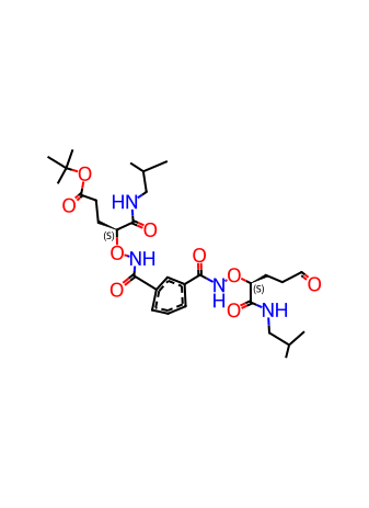 CC(C)CNC(=O)[C@H](CCC=O)ONC(=O)c1cccc(C(=O)NO[C@@H](CCC(=O)OC(C)(C)C)C(=O)NCC(C)C)c1